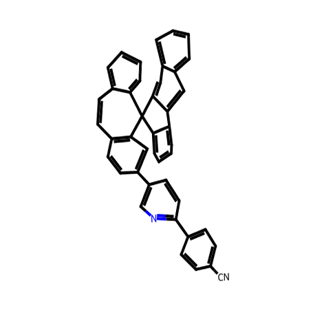 N#Cc1ccc(-c2ccc(-c3ccc4c(c3)C3(c5ccccc5C=C4)c4ccccc4-c4cc5ccccc5cc43)cn2)cc1